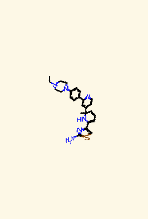 CCN1CCN(c2ccc(-c3cc(C4(C)C=CC=C(c5csc(N)n5)N4)ccn3)cc2)CC1